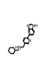 c1nc2cc(-c3ccc(CNCC4CCCCC4)cn3)ccc2[nH]1